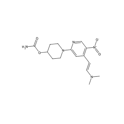 CN(C)/C=C/c1cc(N2CCC(OC(N)=O)CC2)ncc1[N+](=O)[O-]